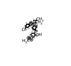 CC(C)CN(Cc1ccc(Cl)cc1)S(=O)(=O)c1ccc(OC2CCN(S(C)(=O)=O)CC2O)cn1